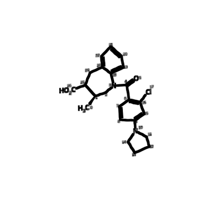 C[C@@H]1CN(C(=O)c2ccc(N3CCCC3)cc2Cl)c2ccccc2CC1C(=O)O